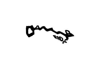 CCOC(=O)C1(CCCCCCOc2ccccc2)CO1